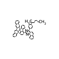 C=C/C=C\C=C(/C)c1ccc(-c2nc(-c3cccc4c3-c3ccccc3C43c4cc5ccccc5cc4-c4cc5ccccc5cc43)nc3c2ccc2ccccc23)cc1